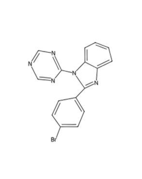 Brc1ccc(-c2nc3ccccc3n2-c2ncncn2)cc1